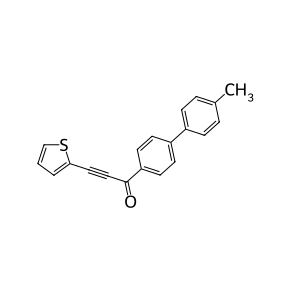 Cc1ccc(-c2ccc(C(=O)C#Cc3cccs3)cc2)cc1